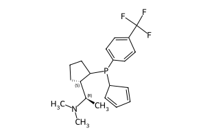 C[C@H]([C@@H]1CCCC1P(c1ccc(C(F)(F)F)cc1)C1C=CC=C1)N(C)C